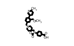 COCc1cc(CN2CCC3(CC2)CN(c2ccc(C(=O)O)cc2)C(=O)O3)ccc1-c1ccc(C)nc1